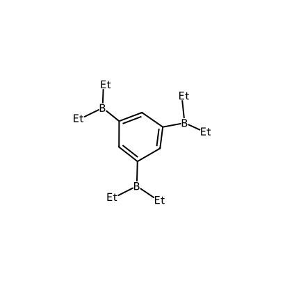 CCB(CC)c1cc(B(CC)CC)cc(B(CC)CC)c1